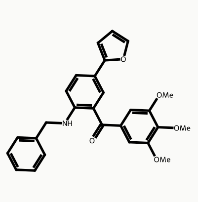 COc1cc(C(=O)c2cc(-c3ccco3)ccc2NCc2ccccc2)cc(OC)c1OC